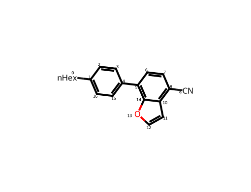 CCCCCCc1ccc(-c2ccc(C#N)c3ccoc23)cc1